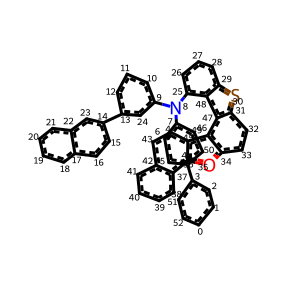 c1ccc(-c2ccc(N(c3cccc(-c4ccc5ccccc5c4)c3)c3cccc4sc5ccc6oc7c8ccccc8ccc7c6c5c34)cc2)cc1